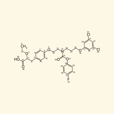 CCOC(Cc1ccc(OCCN(CCCOc2cc(Cl)cc(Cl)c2)C(=O)Oc2ccc(F)cc2)cc1)C(=O)O